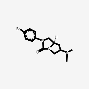 CN(C)C1C[C@@H]2CN(c3ccc(Br)cc3)C(=O)N2C1